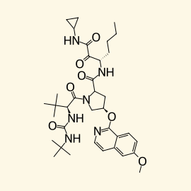 CCCC[C@H](NC(=O)C1C[C@@H](Oc2nccc3cc(OC)ccc23)CN1C(=O)[C@@H](NC(=O)NC(C)(C)C)C(C)(C)C)C(=O)C(=O)NC1CC1